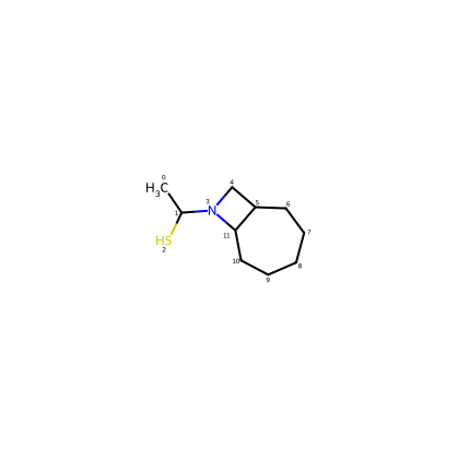 CC(S)N1CC2CCCCCC21